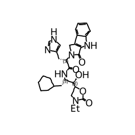 CCN1CC([C@H](O)[C@H](CC2CCCCC2)NC(=O)[C@H](Cc2c[nH]cn2)N2Cc3c([nH]c4ccccc34)C2=O)OC1=O